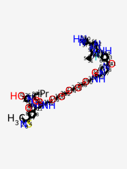 Cc1ncsc1-c1ccc([C@H](CC(=O)NCCOCCOCCOCCOCCOCCNC(=O)CN2CCN(C(=O)c3ccc(Nc4nc(C5CC5)cn5c(-c6cn[nH]c6)cnc45)c(F)c3)CC2)NC(=O)[C@@H]2C[C@@H](O)CN2C(=O)CC(C)C)cc1